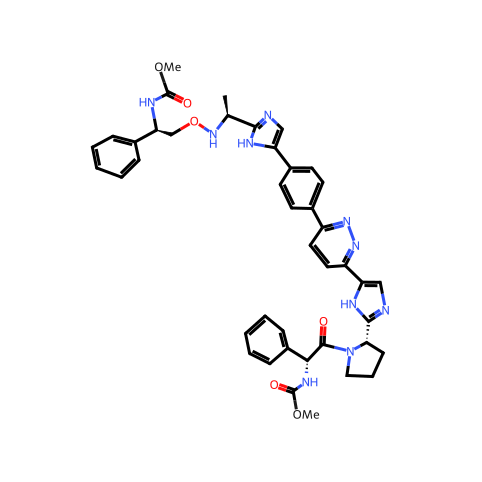 COC(=O)N[C@@H](CON[C@@H](C)c1ncc(-c2ccc(-c3ccc(-c4cnc([C@@H]5CCCN5C(=O)[C@H](NC(=O)OC)c5ccccc5)[nH]4)nn3)cc2)[nH]1)c1ccccc1